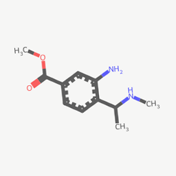 CNC(C)c1ccc(C(=O)OC)cc1N